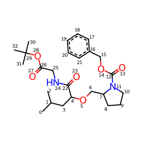 CC(C)CC(OCC1CCCN1C(=O)OCc1ccccc1)C(=O)NCC(=O)OC(C)(C)C